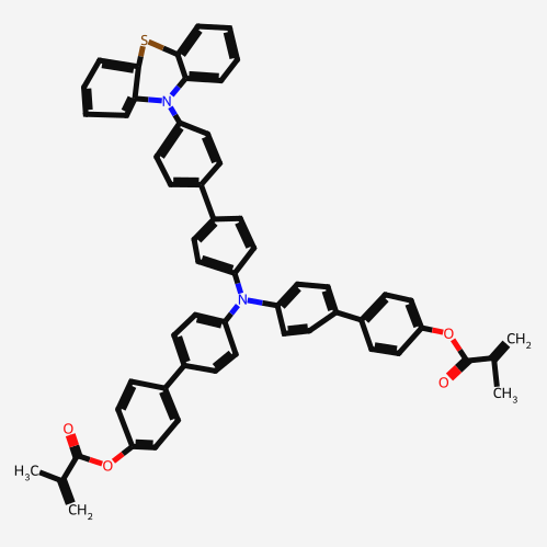 C=C(C)C(=O)Oc1ccc(-c2ccc(N(c3ccc(-c4ccc(OC(=O)C(=C)C)cc4)cc3)c3ccc(-c4ccc(N5c6ccccc6Sc6ccccc65)cc4)cc3)cc2)cc1